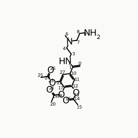 C=C(NCCN(C)CCN)c1cc(OC(C)=O)c(OC(C)=O)c(OC(C)=O)c1